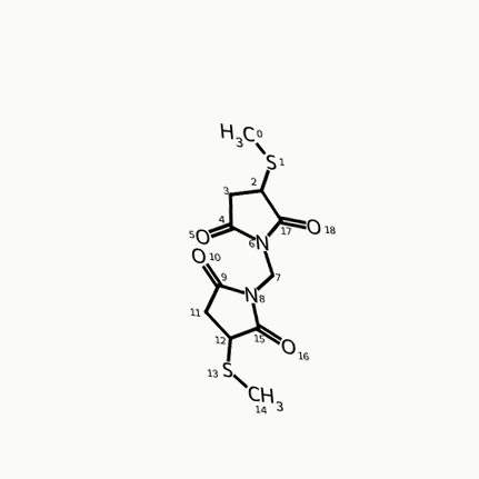 CSC1CC(=O)N(CN2C(=O)CC(SC)C2=O)C1=O